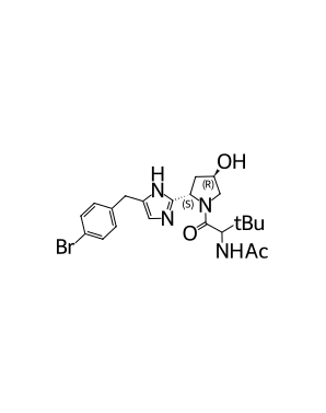 CC(=O)NC(C(=O)N1C[C@H](O)C[C@H]1c1ncc(Cc2ccc(Br)cc2)[nH]1)C(C)(C)C